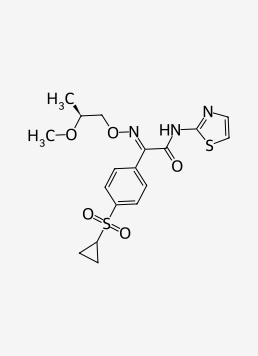 CO[C@@H](C)CO/N=C(/C(=O)Nc1nccs1)c1ccc(S(=O)(=O)C2CC2)cc1